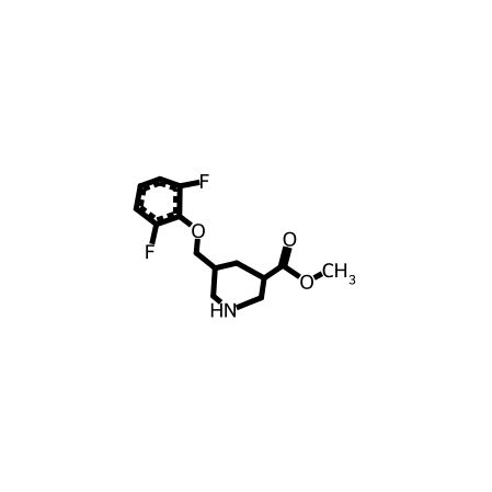 COC(=O)C1CNCC(COc2c(F)cccc2F)C1